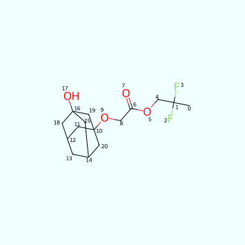 CC(F)(F)COC(=O)COC12CC3CC(CC(O)(C3)C1)C2